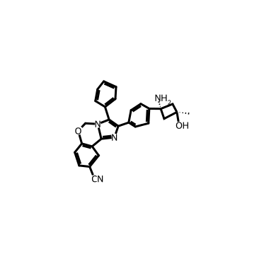 C[C@]1(O)C[C@@](N)(c2ccc(-c3nc4n(c3-c3ccccc3)COc3ccc(C#N)cc3-4)cc2)C1